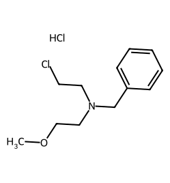 COCCN(CCCl)Cc1ccccc1.Cl